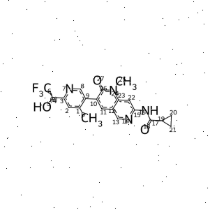 Cc1cc([C@@H](O)C(F)(F)F)ncc1-c1cc2cnc(NC(=O)C3CC3)cc2n(C)c1=O